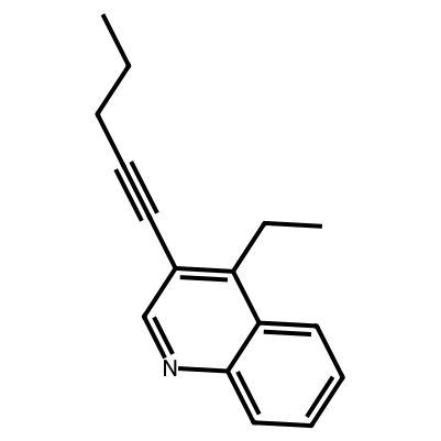 CCCC#Cc1cnc2ccccc2c1CC